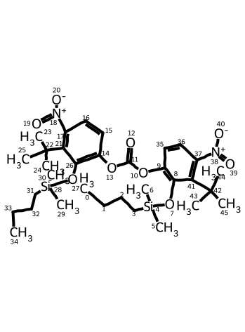 CCCC[Si](C)(C)Oc1c(OC(=O)Oc2ccc([N+](=O)[O-])c(C(C)(C)C)c2O[Si](C)(C)CCCC)ccc([N+](=O)[O-])c1C(C)(C)C